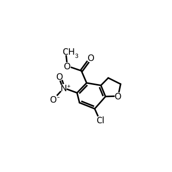 COC(=O)c1c([N+](=O)[O-])cc(Cl)c2c1CCO2